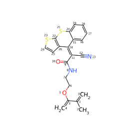 C=C(C)C(=C)OCCNC(=O)/C(C#N)=C1/c2ccccc2Sc2sccc21